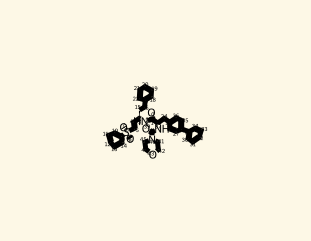 O=C(N[C@H](/C=C/S(=O)(=O)c1ccccc1)CCc1ccccc1)C(Cc1ccc(-c2ccccc2)cc1)NC(=O)N1CCOCC1